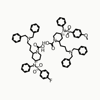 COc1ccc(S(=O)(=O)N(c2ccccc2)[C@H]2CCN(C(=O)O)C(CCCN(Cc3ccccc3)Cc3ccccc3)C2)cc1.O=C(O)N1CC[C@H](N(c2ccccc2)S(=O)(=O)c2ccc(F)cc2)CC1CCCN(Cc1ccccc1)Cc1ccccc1